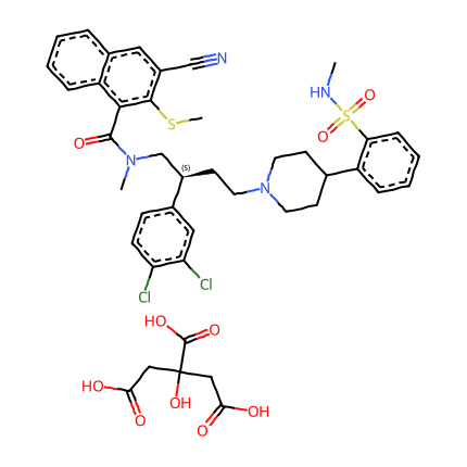 CNS(=O)(=O)c1ccccc1C1CCN(CC[C@H](CN(C)C(=O)c2c(SC)c(C#N)cc3ccccc23)c2ccc(Cl)c(Cl)c2)CC1.O=C(O)CC(O)(CC(=O)O)C(=O)O